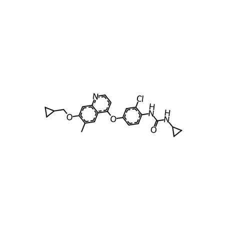 Cc1cc2c(Oc3ccc(NC(=O)NC4CC4)c(Cl)c3)ccnc2cc1OCC1CC1